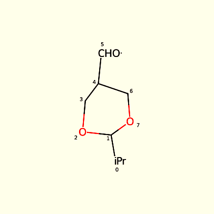 CC(C)C1OCC([C]=O)CO1